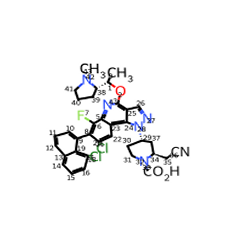 CC(Oc1nc2c(F)c(-c3cccc4cccc(Cl)c34)c(Cl)cc2c2c1cnn2[C@H]1CCN(C(=O)O)[C@H](CC#N)C1)[C@@H]1CCCN1C